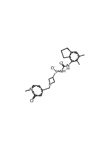 Cc1cc2c(c(NC(=O)N[S+]([O-])C3CN(Cc4ccn(C)c(=O)c4)C3)c1C)CCC2